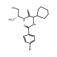 O=C(NC(C(=O)N[C@@H](CO)C(=O)O)C1CCCCC1)c1ccc(Br)cc1